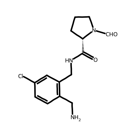 NCc1ccc(Cl)cc1CNC(=O)[C@@H]1CCCN1C=O